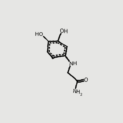 NC(=O)CNc1ccc(O)c(O)c1